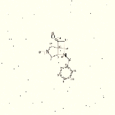 CN1CC2N(Cc3ccccc3)C3CC(=O)C32C1